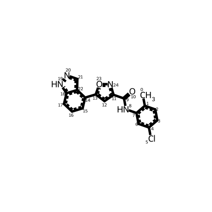 Cc1ccc(Cl)cc1NC(=O)c1cc(-c2cccc3[nH]ncc23)on1